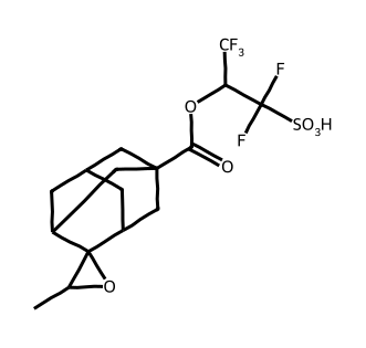 CC1OC12C1CC3CC2CC(C(=O)OC(C(F)(F)F)C(F)(F)S(=O)(=O)O)(C3)C1